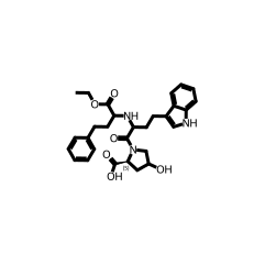 CCOC(=O)C(CCc1ccccc1)NC(CCc1c[nH]c2ccccc12)C(=O)N1CC(O)C[C@H]1C(=O)O